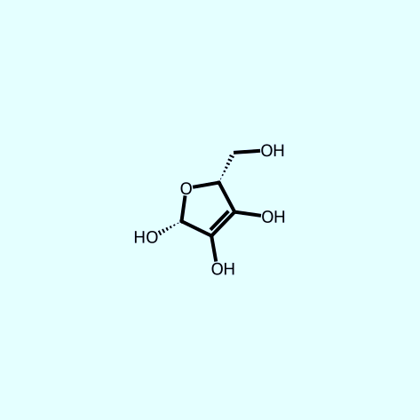 OC[C@H]1O[C@@H](O)C(O)=C1O